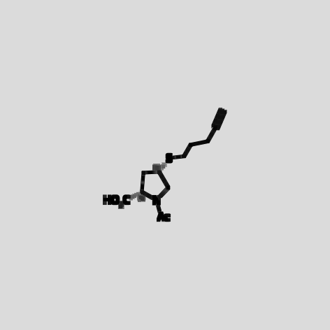 C#CCCCS[C@H]1C[C@@H](C(=O)O)N(C(C)=O)C1